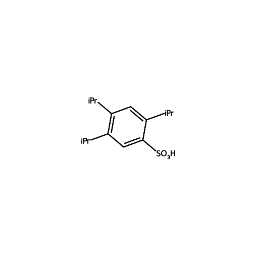 CC(C)c1cc(C(C)C)c(S(=O)(=O)O)cc1C(C)C